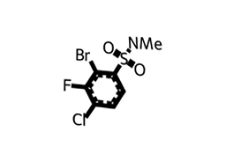 CNS(=O)(=O)c1ccc(Cl)c(F)c1Br